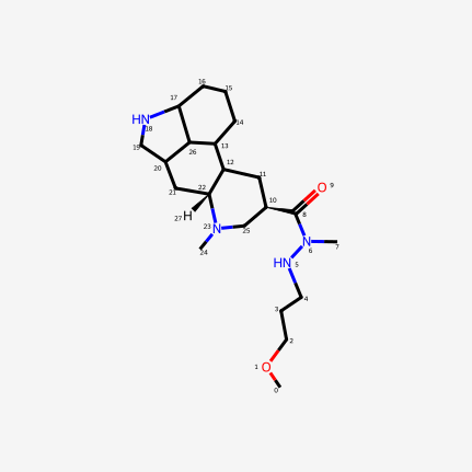 COCCCNN(C)C(=O)[C@@H]1CC2C3CCCC4NCC(C[C@H]2N(C)C1)C43